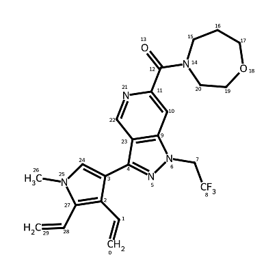 C=Cc1c(-c2nn(CC(F)(F)F)c3cc(C(=O)N4CCCOCC4)ncc23)cn(C)c1C=C